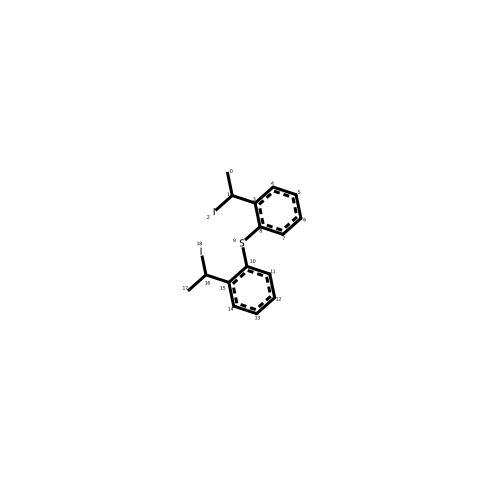 CC(I)c1ccccc1Sc1ccccc1C(C)I